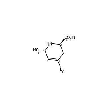 CCOC(=O)[C@H]1CC(CC)=CCN1.Cl